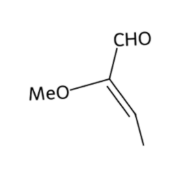 CC=C(C=O)OC